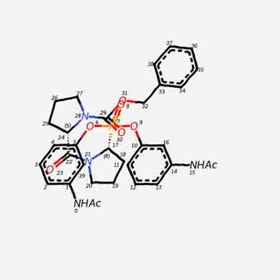 CC(=O)Nc1cccc(OP(=O)(Oc2cccc(NC(C)=O)c2)[C@@H]2CCCN2C(=O)[C@@H]2CCCN2C(=O)OCc2ccccc2)c1